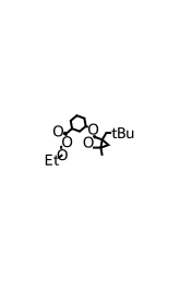 CCOCOC(=O)C1CCCC(OC(=O)C2(CC(C)(C)C)CC2(C)C)C1